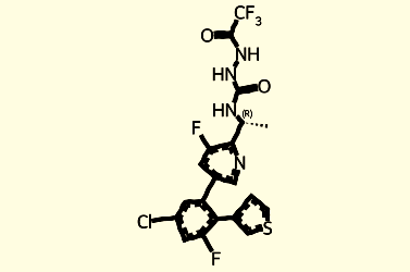 C[C@@H](NC(=O)NNC(=O)C(F)(F)F)c1ncc(-c2cc(Cl)cc(F)c2-c2ccsc2)cc1F